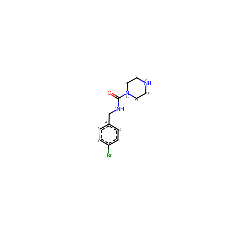 O=C(NCc1ccc(Br)cc1)N1CCNCC1